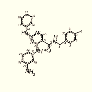 Cc1ccc(CNC(=O)c2cnc(Nc3ccccc3)nc2Nc2cccc(N)c2)cc1